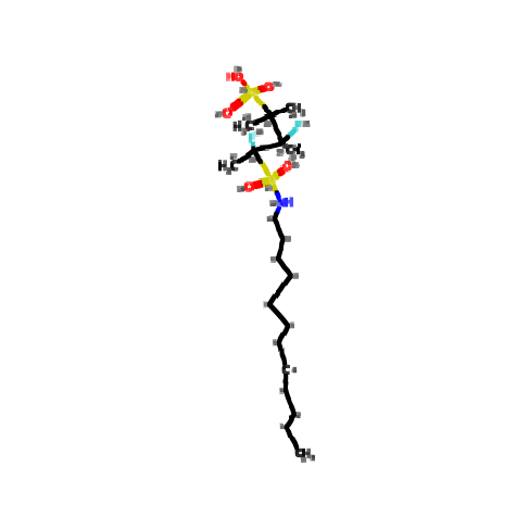 CCCCCCCCCCCCNS(=O)(=O)C(C)(F)[C@](C)(F)C(C)(C)S(=O)(=O)O